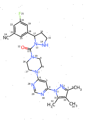 Cc1nn(-c2cc(N3CCN(C(=O)N4NCCC4c4cc(F)cc(C#N)c4)CC3)ncn2)c(C)c1C